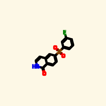 O=c1[nH]ccc2cc(S(=O)(=O)c3cccc(F)c3)ccc12